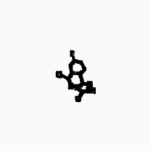 O=c1[nH]nc2c3ccc(F)cc3c(Cl)nn12